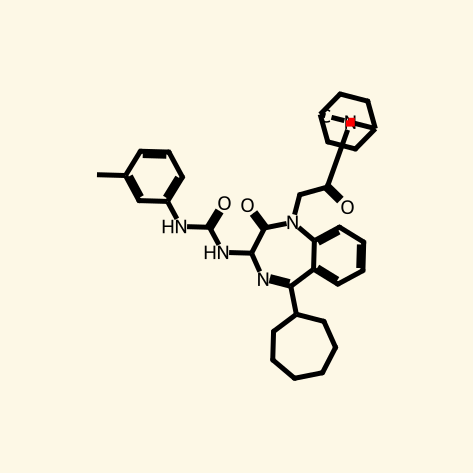 Cc1cccc(NC(=O)NC2N=C(C3CCCCCC3)c3ccccc3N(CC(=O)N3CC4CCC(CC4)C3)C2=O)c1